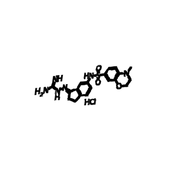 CN1CCOc2cc(S(=O)(=O)Nc3ccc4c(c3)C(=NNC(=N)N)CC4)ccc21.Cl